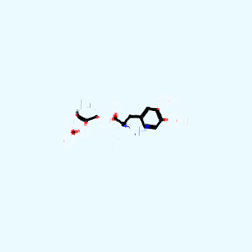 CC(C)(C)c1oc(=O)oc1COC(=O)[C@@](C)(N)Cc1ccc(O)c(O)c1